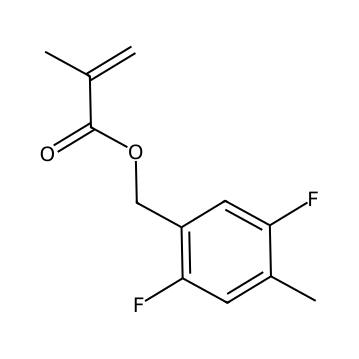 C=C(C)C(=O)OCc1cc(F)c(C)cc1F